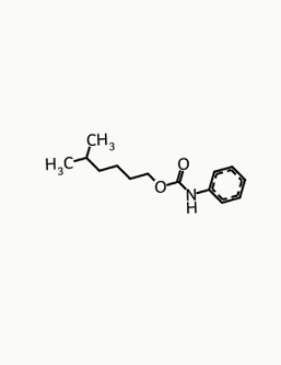 CC(C)CCCCOC(=O)Nc1ccccc1